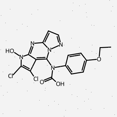 CCOc1ccc(N(C(=O)O)c2c3c(Cl)c(Cl)n(O)c3nc3ccnn23)cc1